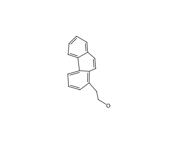 [O]CCc1cccc2c1ccc1ccccc12